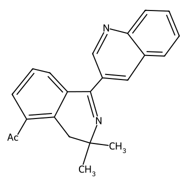 CC(=O)c1cccc2c1CC(C)(C)N=C2c1cnc2ccccc2c1